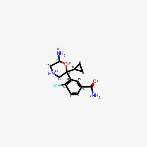 NC(=O)c1ccc(F)c(C2(C3CC3)CNCC(N)O2)c1